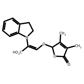 CC1=C(C)C(O/C=C(/C(=O)O)N2CCc3ccccc32)OC1=O